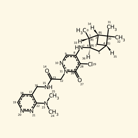 C[C@@H]1[C@H]2C[C@@H](C[C@H]1Nc1cnn(CC(=O)NCc3ccnnc3N(C)C)c(=O)c1Cl)C2(C)C